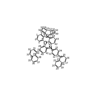 c1ccc2c(c1)Oc1c(N(c3ccc(-c4cccc5ccccc45)cc3)c3ccc(-c4cccc5ccccc45)cc3)cccc1[Si]21c2ccccc2-c2ccccc21